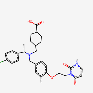 Cc1cc(CN(CC2CCC(C(=O)O)CC2)[C@@H](C)c2ccc(Cl)cc2)ccc1OCCn1c(=O)ccn(C)c1=O